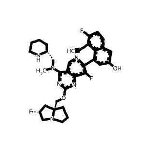 C#Cc1c(F)ccc2cc(O)cc(-c3ncc4c(N(C)C[C@H]5CCCCN5)nc(OC[C@@]56CCCN5C[C@H](F)C6)nc4c3F)c12